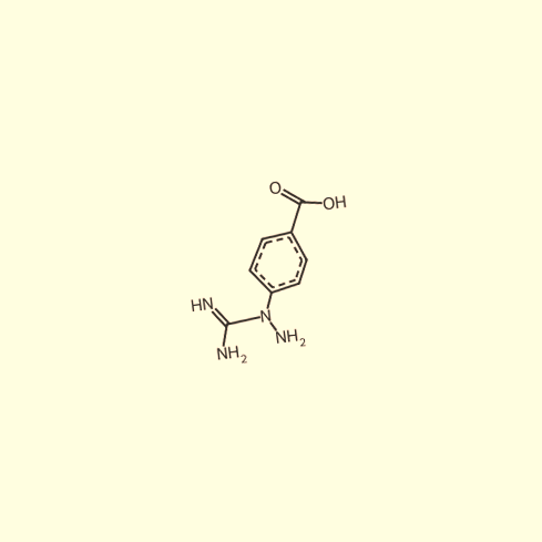 N=C(N)N(N)c1ccc(C(=O)O)cc1